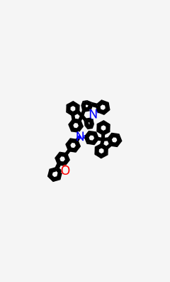 c1ccc(C2(c3ccc(N(c4ccc(-c5ccc6c(c5)oc5ccccc56)cc4)c4ccc5c(c4)C4(c6ccccc6-5)c5ccccc5-n5c6ccccc6c6cccc4c65)cc3)c3ccccc3-c3ccccc32)cc1